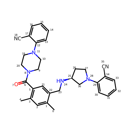 Cc1cc(C)c(C(=O)N2CCN(c3ccccc3C#N)CC2)cc1CN[C@H]1CCN(c2ccccc2C#N)C1